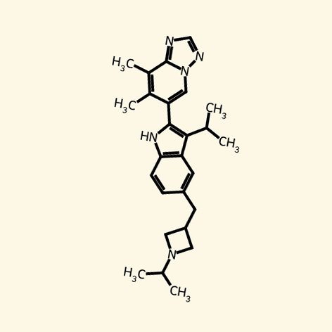 Cc1c(-c2[nH]c3ccc(CC4CN(C(C)C)C4)cc3c2C(C)C)cn2ncnc2c1C